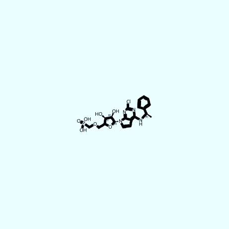 C[C@@H](Nc1nc(Cl)nc2c1ccn2[C@@H]1OC(COCP(=O)(O)O)[C@@H](O)[C@H]1O)c1ccccc1